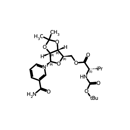 CC(C)[C@H](NC(=O)OC(C)(C)C)C(=O)OC[C@H]1O[C@@H]([n+]2cccc(C(N)=O)c2)[C@@H]2OC(C)(C)O[C@@H]21